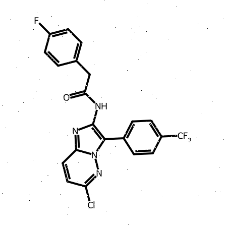 O=C(Cc1ccc(F)cc1)Nc1nc2ccc(Cl)nn2c1-c1ccc(C(F)(F)F)cc1